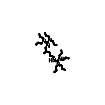 CCCN(CCC)C(=NCC(C)CCCNC(N(CCC)CCC)=[N+](CCC)CCC)N(CCC)CCC